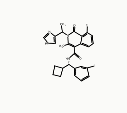 Cc1c(C(=O)N[C@H](c2cccc(F)c2)C2CCC2)c2cccc(F)c2c(=O)n1C(C)c1c[nH]cn1